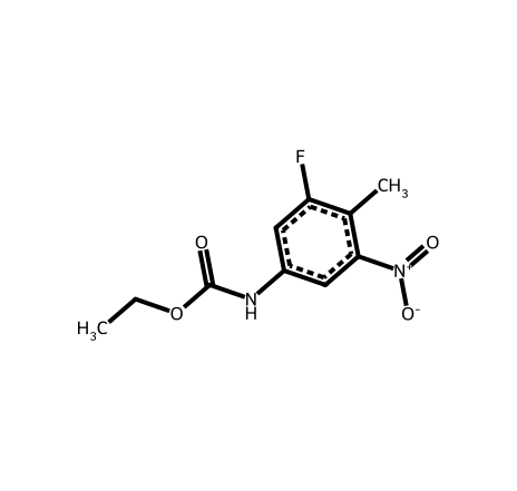 CCOC(=O)Nc1cc(F)c(C)c([N+](=O)[O-])c1